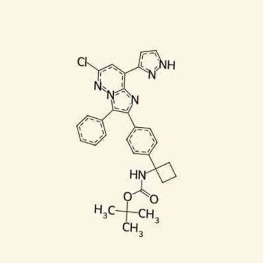 CC(C)(C)OC(=O)NC1(c2ccc(-c3nc4c(-c5cc[nH]n5)cc(Cl)nn4c3-c3ccccc3)cc2)CCC1